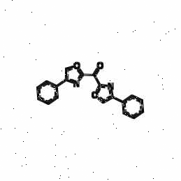 O=C(c1nc(-c2ccccc2)co1)c1nc(-c2ccccc2)co1